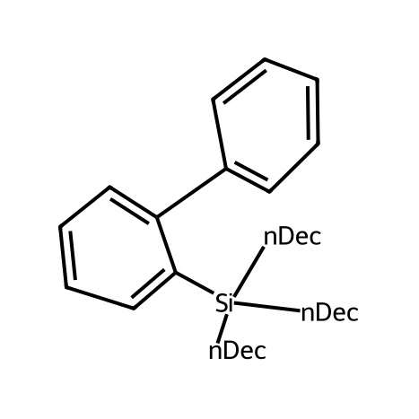 CCCCCCCCCC[Si](CCCCCCCCCC)(CCCCCCCCCC)c1ccccc1-c1ccccc1